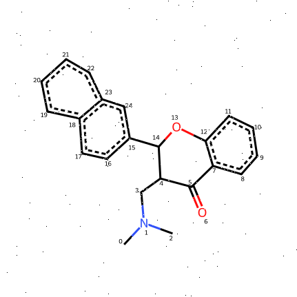 CN(C)CC1C(=O)c2ccccc2OC1c1ccc2ccccc2c1